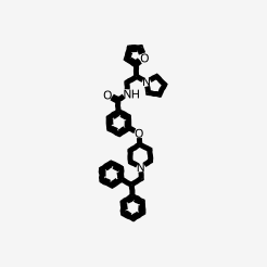 O=C(NCC(c1ccco1)N1CCCC1)c1cccc(OC2CCN(CC(c3ccccc3)c3ccccc3)CC2)c1